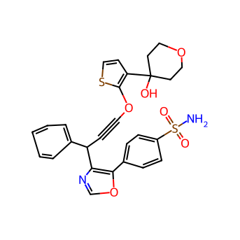 NS(=O)(=O)c1ccc(-c2ocnc2C(C#COc2sccc2C2(O)CCOCC2)c2ccccc2)cc1